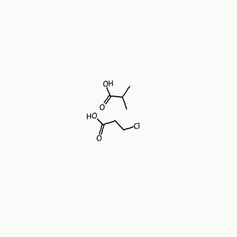 CC(C)C(=O)O.O=C(O)CCCl